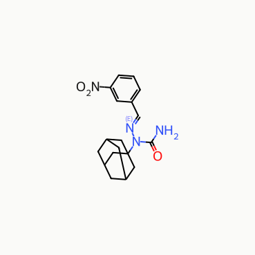 NC(=O)N(/N=C/c1cccc([N+](=O)[O-])c1)C12CC3CC(CC(C3)C1)C2